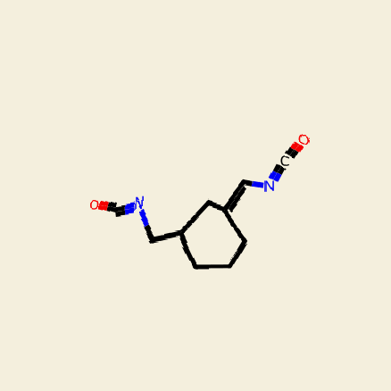 O=C=N/C=C1\CCCC(CN=C=O)C1